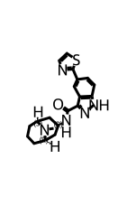 CN1[C@@H]2CCC[C@H]1C[C@@H](NC(=O)c1n[nH]c3ccc(-c4nccs4)cc13)C2